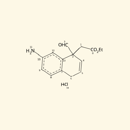 CCOC(=O)CC1(C=O)C=CCc2ccc(N)cc21.Cl